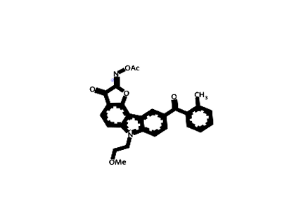 COCCn1c2ccc(C(=O)c3ccccc3C)cc2c2c3c(ccc21)C(=O)/C(=N/OC(C)=O)O3